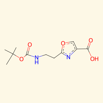 CC(C)(C)OC(=O)NCCc1nc(C(=O)O)co1